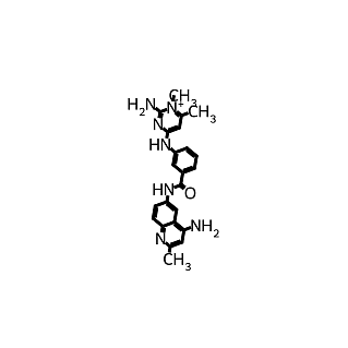 Cc1cc(N)c2cc(NC(=O)c3cccc(Nc4cc(C)[n+](C)c(N)n4)c3)ccc2n1